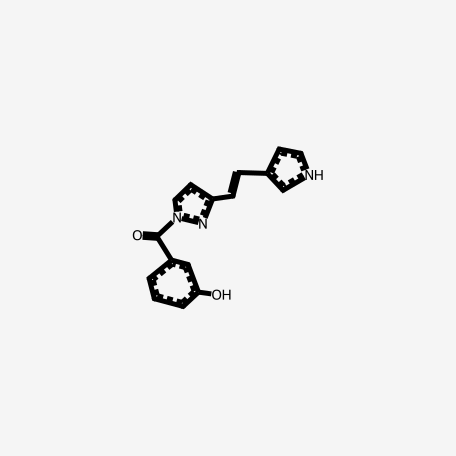 O=C(c1cccc(O)c1)n1ccc(/C=C/c2cc[nH]c2)n1